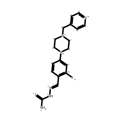 NC(=S)N/N=C/c1ccc(N2CCN(Cc3ccncc3)CC2)cc1F